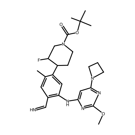 COc1nc(Nc2cc(C3CCN(C(=O)OC(C)(C)C)CC3F)c(C)cc2C=N)cc(N2CCC2)n1